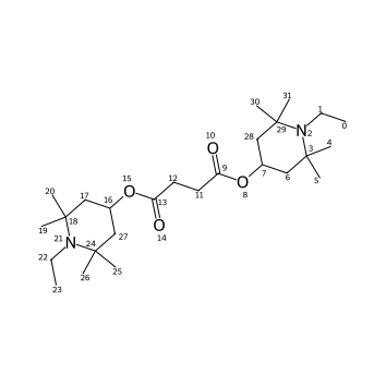 CCN1C(C)(C)CC(OC(=O)CCC(=O)OC2CC(C)(C)N(CC)C(C)(C)C2)CC1(C)C